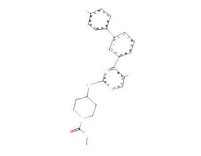 CC(C)(C)OC(=O)N1CCC(Nc2ncc(F)c(-c3cccc(-c4ccc(F)cc4)c3)n2)CC1